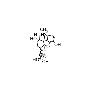 CN1CC[C@]23c4c5ccc(O)c4O[C@H]2C(=O)CC[C@@]3(O)[C@H]1C5.O=P(O)(O)O